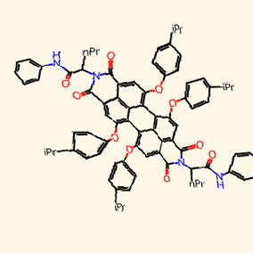 CCCC(C(=O)Nc1ccccc1)N1C(=O)c2cc(Oc3ccc(C(C)C)cc3)c3c4c(Oc5ccc(C(C)C)cc5)cc5c6c(cc(Oc7ccc(C(C)C)cc7)c(c7c(Oc8ccc(C(C)C)cc8)cc(c2c37)C1=O)c64)C(=O)N(C(CCC)C(=O)Nc1ccccc1)C5=O